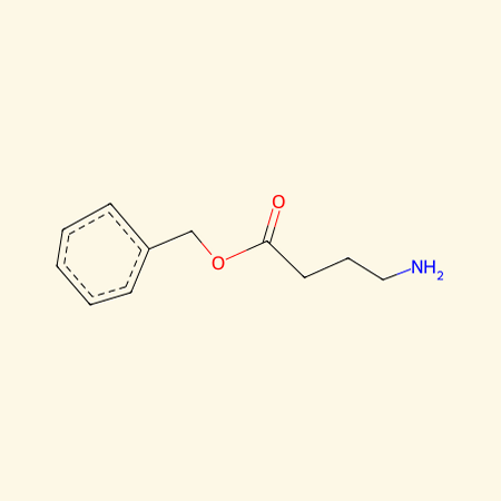 NCCCC(=O)OCc1ccccc1